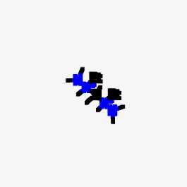 CC[N+](C)(N(C)C)[Si](C)(C)[N+](C)(CC)N(C)C